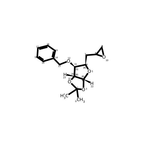 CC1(C)O[C@H]2O[C@H](CC3CO3)[C@H](OCc3ccccc3)[C@H]2O1